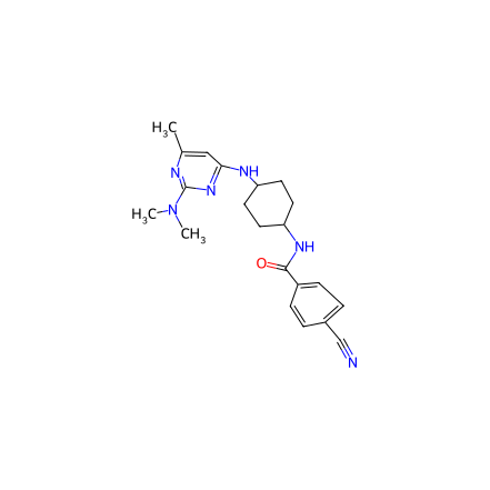 Cc1cc(NC2CCC(NC(=O)c3ccc(C#N)cc3)CC2)nc(N(C)C)n1